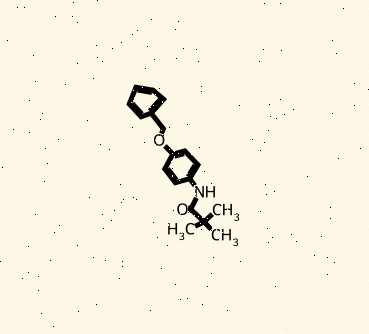 CC(C)(C)C(=O)Nc1ccc(OCc2ccccc2)cc1